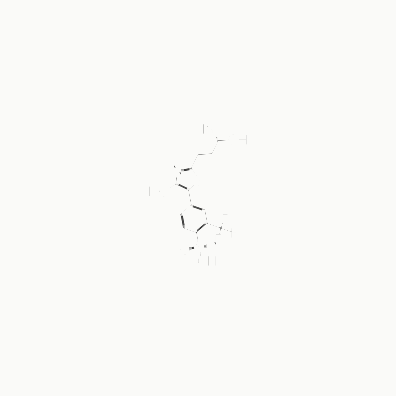 C[C](S)CCc1nc(C)c(-c2ccc(S(C)(=O)=O)c(C(F)(F)F)c2)s1